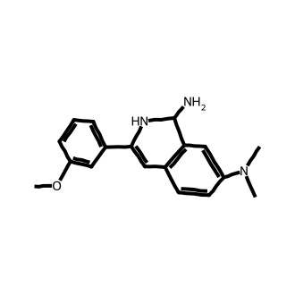 COc1cccc(C2=Cc3ccc(N(C)C)cc3C(N)N2)c1